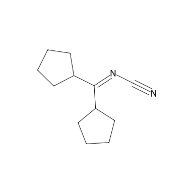 N#CN=C(C1CCCC1)C1CCCC1